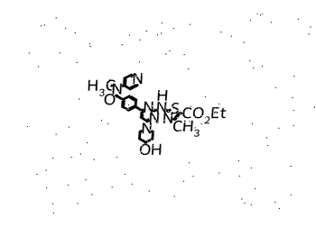 CCOC(=O)c1sc(Nc2nc(-c3ccc(C(=O)N(C)c4ccncc4)cc3)cc(N3CCC(O)CC3)n2)nc1C